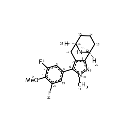 COc1c(F)cc(-c2c3c(nn2C)[C@@H]2CCC[C@H](C3)N2)cc1F